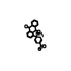 NC1(c2cccc3c2C(=O)c2ccccc2C3=O)C=CC([N+](=O)[O-])=CC1